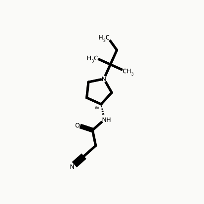 CCC(C)(C)N1CC[C@@H](NC(=O)CC#N)C1